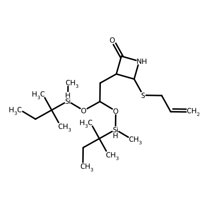 C=CCSC1NC(=O)C1CC(O[SiH](C)C(C)(C)CC)O[SiH](C)C(C)(C)CC